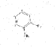 CCCCc1[c]cccc1F